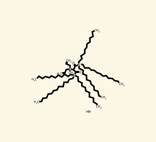 Br.C=CC[N+](C)(CC=C)C(C(=O)[N+](CCCCCCCCCCCC)(CCCCCCCCCCCC)CCCCCCCCCCCCCC)C(=O)[N+](CCCCCCCCCCCC)(CCCCCCCCCCCC)CCCCCCCCCCCCCC